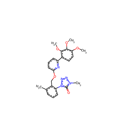 COc1ccc(-c2cccc(OCc3c(C)cccc3-n3nnn(C)c3=O)n2)c(OC)c1OC